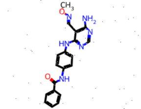 CON=Cc1c(N)ncnc1Nc1ccc(NC(=O)c2ccccc2)cc1